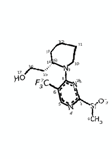 C[S+]([O-])c1ncc(C(F)(F)F)c(N2CCCC[C@H]2CCO)n1